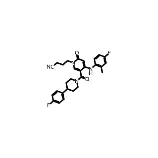 Cc1cc(F)ccc1Nc1cc(=O)n(CCCC#N)cc1C(=O)N1CCC(c2ccc(F)cc2)CC1